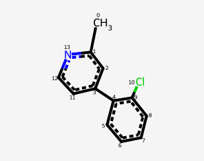 Cc1cc(-c2ccccc2Cl)ccn1